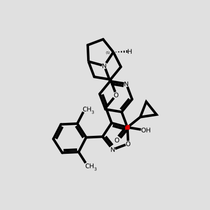 Cc1cccc(C)c1-c1noc(C2CC2)c1COC1CC2CC[C@@H](C1)N2c1ccc(C(=O)O)cn1